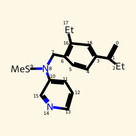 C=C(CC)c1ccc(CN(SC)c2cccnc2)c(CC)c1